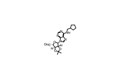 CC1(C)O[C@@H]2[C@@H](O1)[C@H](n1cnc3c(NCC4CCCC4)ncnc31)O[C@H]2C=O